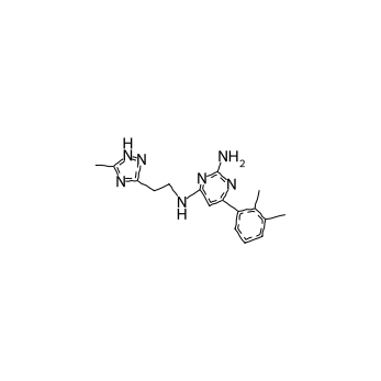 Cc1nc(CCNc2cc(-c3cccc(C)c3C)nc(N)n2)n[nH]1